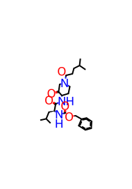 CC(C)CCC(=O)N1CCC(NC(=O)[C@H](CC(C)C)NC(=O)OCc2ccccc2)C(=O)C1